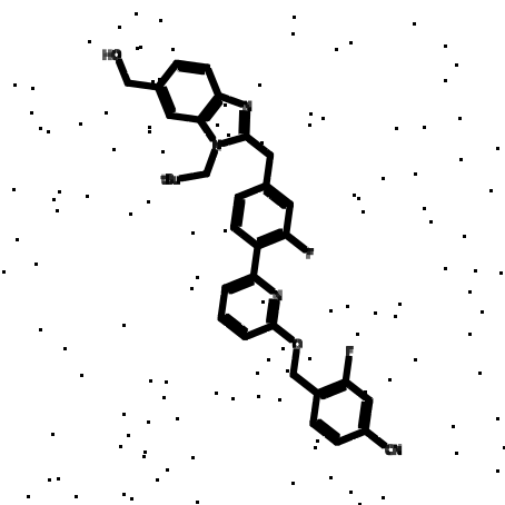 CC(C)(C)Cn1c(Cc2ccc(-c3cccc(OCc4ccc(C#N)cc4F)n3)c(F)c2)nc2ccc(CO)cc21